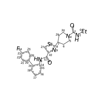 CCNC(=O)N1CCC(c2nc(C(=O)Nc3ccccc3-c3ccc(F)cc3)cs2)CC1